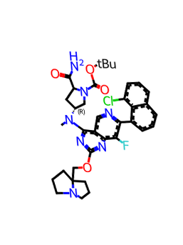 CN(c1nc(OCC23CCCN2CCC3)nc2c(F)c(-c3cccc4cccc(Cl)c34)ncc12)[C@@H]1CC(C(N)=O)N(C(=O)OC(C)(C)C)C1